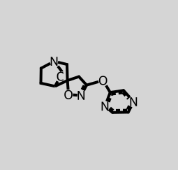 c1cnc(OC2=NOC3(C2)CN2CCC3CC2)cn1